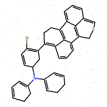 BrC1=C(C2=c3cccc4c5c6c(cccc6c(c34)CC2)=CCC5)CC(N(C2=CCCC=C2)C2=CC=CCC2)C=C1